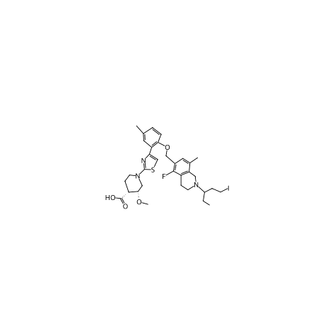 CCC(CCI)N1CCc2c(F)c(COc3ccc(C)cc3-c3csc(N4CC[C@@H](C(=O)O)[C@@H](OC)C4)n3)cc(C)c2C1